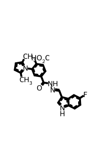 Cc1ccc(C)n1-c1cc(C(=O)N/N=C/c2c[nH]c3ccc(F)cc23)ccc1C(=O)O